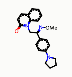 CO/N=C(/Cn1c(=O)ccc2ccccc21)c1ccc(N2CCCC2)cc1